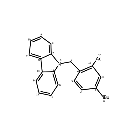 CCC(C)c1ccc(Cn2c3ccccc3c3ccccc32)c(C(C)=O)c1